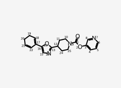 O=C(Oc1cccnc1)N1CCC(c2ncc(C3=CCCC=C3)o2)CC1